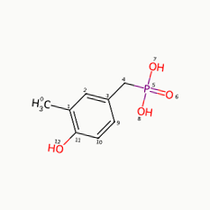 Cc1cc(CP(=O)(O)O)ccc1O